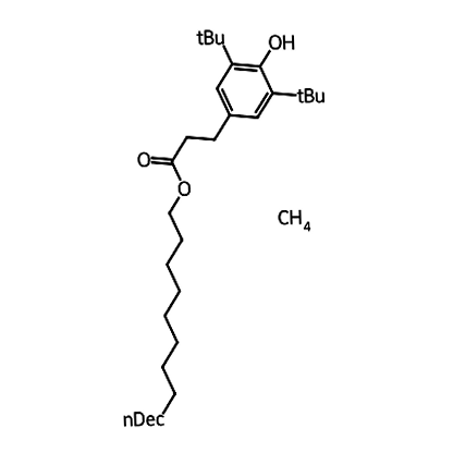 C.CCCCCCCCCCCCCCCCCCOC(=O)CCc1cc(C(C)(C)C)c(O)c(C(C)(C)C)c1